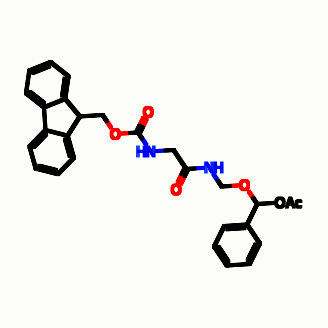 CC(=O)OC(OCNC(=O)CNC(=O)OCC1c2ccccc2-c2ccccc21)c1ccccc1